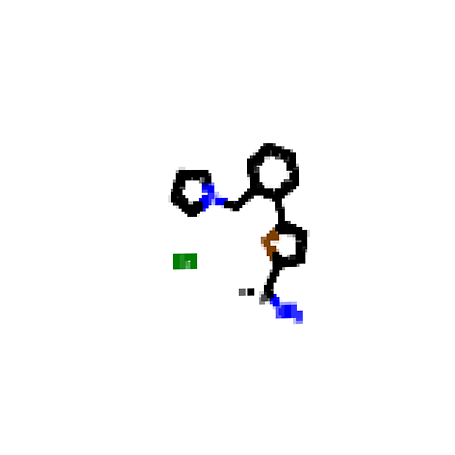 C[C@@H](N)c1ccc(-c2ccccc2Cn2cccc2)s1.Cl